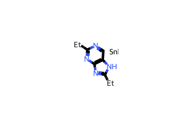 CCc1ncc2[nH]c(CC)nc2n1.[Sn]